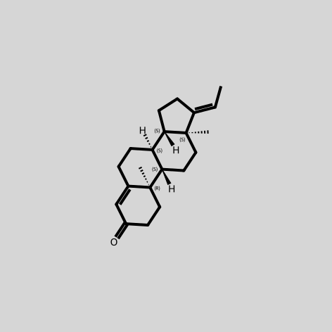 CC=C1CC[C@H]2[C@@H]3CCC4=CC(=O)CC[C@]4(C)[C@H]3CC[C@]12C